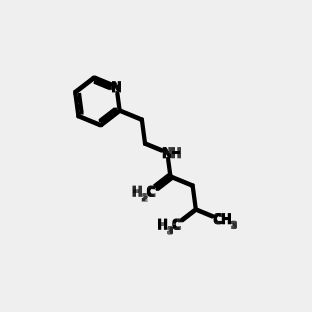 C=C(CC(C)C)NCCc1ccccn1